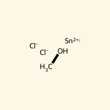 CO.[Cl-].[Cl-].[Sn+2]